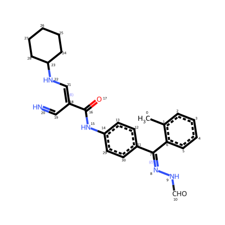 Cc1ccccc1/C(=N\NC=O)c1ccc(NC(=O)/C(C=N)=C/NC2CCCCC2)cc1